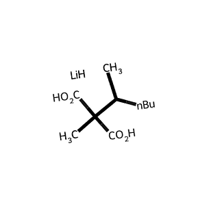 CCCCC(C)C(C)(C(=O)O)C(=O)O.[LiH]